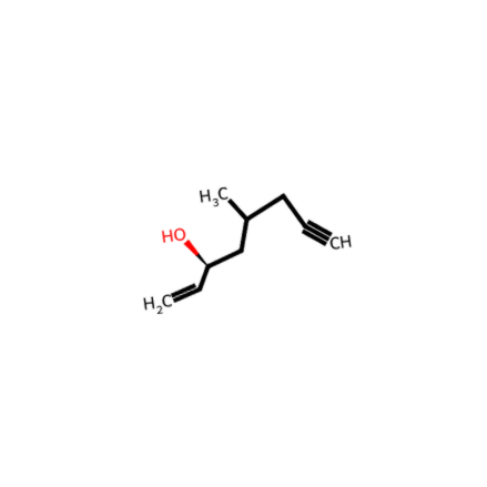 C#CCC(C)C[C@H](O)C=C